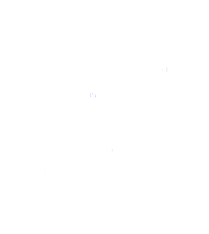 Oc1cc(Br)ccc1-c1cc2cc(Cl)ccc2[nH]1